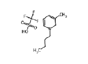 CCCCN1C=CC=C(C)C1.O=S(=O)(O)C(F)(F)F